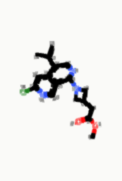 COC(=O)CC1CN(c2ncc(C(C)C)c3cc(Cl)ncc23)C1